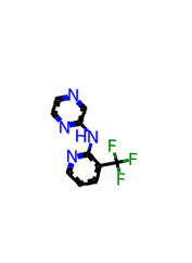 FC(F)(F)c1cccnc1Nc1cnccn1